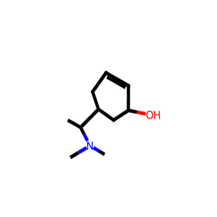 CC(C1CC=CC(O)C1)N(C)C